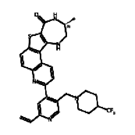 C=Cc1cc(-c2ccc3c(ccc4sc5c(c43)NC[C@@H](C)NC5=O)n2)c(CN2CCC(C(F)(F)F)CC2)cn1